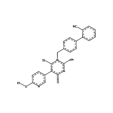 CCCc1nc(=O)c(-c2ccc(OCC)nc2)c(CC)n1Cc1ccc(-c2ccccc2C#N)cc1